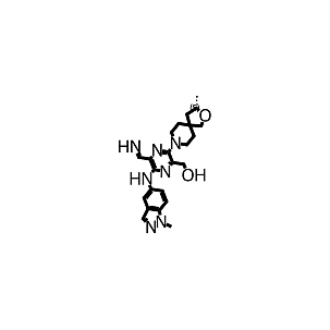 C[C@H]1CC2(CCN(c3nc(C=N)c(Nc4ccc5c(cnn5C)c4)nc3CO)CC2)CO1